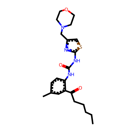 CCCCCC(=O)c1cc(C)ccc1NC(=O)Nc1nc(CN2CCOCC2)cs1